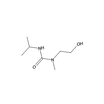 CC(C)NC(=O)N(C)CCO